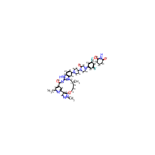 Cc1cc2cc(n1)-c1cnn(C)c1OCCC[C@@H](C)CN1/C(=N/C2=O)Nc2ccc(N3CCC(N4CCN(c5cc(F)c([C@H]6CCC(=O)NC6=O)c(F)c5)CC4=O)CC3)cc21